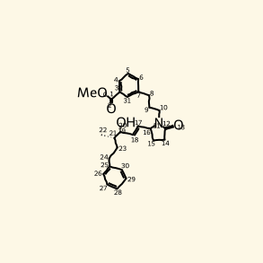 COC(=O)c1cccc(CCCN2C(=O)CCC2C=C[C@@H](O)[C@@H](C)CCc2ccccc2)c1